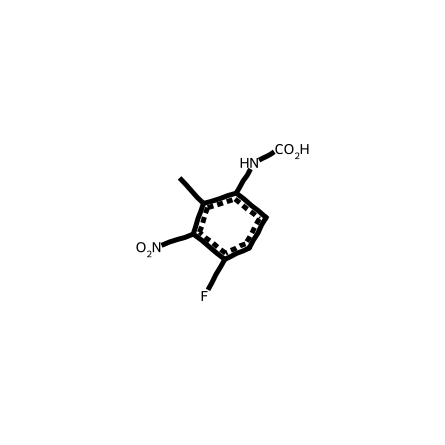 Cc1c(NC(=O)O)ccc(F)c1[N+](=O)[O-]